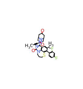 CC#CC(=O)N1C2CC(=O)CC1CN(c1nc(=O)n3c4c(c(-c5ccc(F)cc5F)c(C)cc14)SCCC3)C2